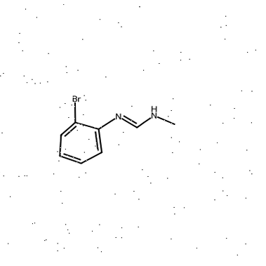 CNC=Nc1ccccc1Br